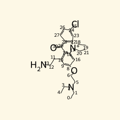 CCN(CC)CCOc1cc(CCN)c2c(c1)[N+](CC)(CC)c1cc(Cl)ccc1C2=O